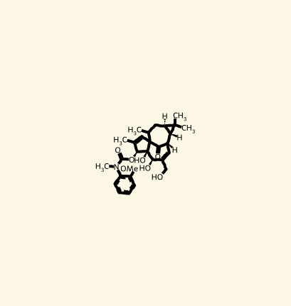 COc1ccccc1N(C)C(=O)O[C@H]1C(C)=CC23C(=O)[C@@H](C=C(CO)[C@@H](O)[C@]12O)[C@@H]1[C@@H](CC3C)C1(C)C